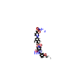 Cc1cc(N2CCC(CS(N)(=O)=O)CC2)cc(C)c1C=CS(=O)(=O)N1CCC2(CC1)N=C(c1cccc(OC(F)(F)F)c1)NC2=O